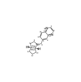 c1cnc2cc(CN3CC[C@H]4CCC[C@H]43)ccc2n1